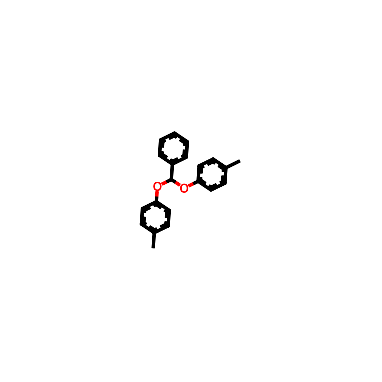 Cc1ccc(OC(Oc2ccc(C)cc2)c2ccccc2)cc1